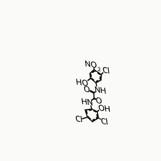 O=C(Nc1cc(Cl)c([N+](=O)[O-])cc1O)C(=O)Nc1cc(Cl)cc(Cl)c1O